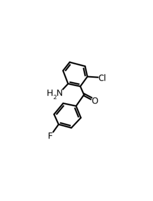 Nc1cccc(Cl)c1C(=O)c1ccc(F)cc1